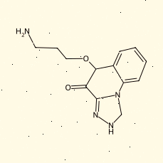 NCCCOC1C(=O)C2=NNCN2c2ccccc21